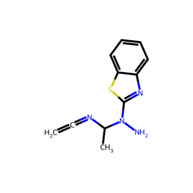 C=C=NC(C)N(N)c1nc2ccccc2s1